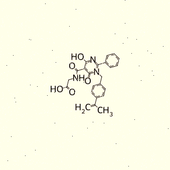 C=C(C)c1ccc(Cn2c(-c3ccccc3)nc(O)c(C(=O)NCC(=O)O)c2=O)cc1